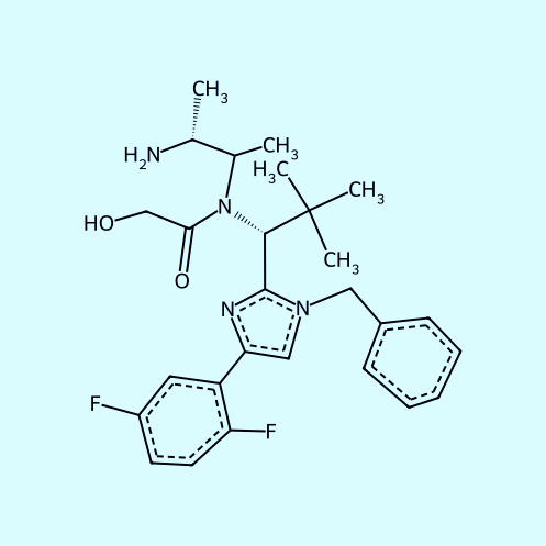 CC([C@@H](C)N)N(C(=O)CO)[C@@H](c1nc(-c2cc(F)ccc2F)cn1Cc1ccccc1)C(C)(C)C